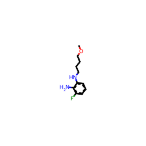 COCCCCNc1cccc(F)c1N